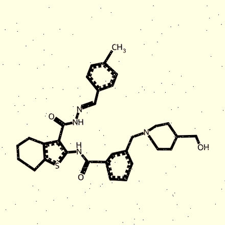 Cc1ccc(C=NNC(=O)c2c(NC(=O)c3cccc(CN4CCC(CO)CC4)c3)sc3c2CCCC3)cc1